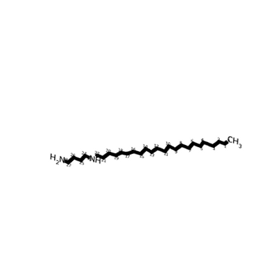 CCCCCCCCCCCCCCCCCCCCCCCNCCCCN